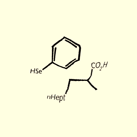 CCCCCCCCC(C)C(=O)O.[SeH]c1ccccc1